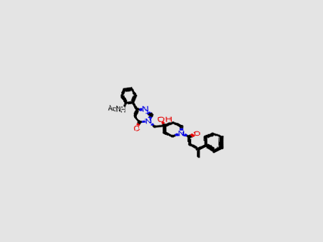 CC(=O)Nc1ccccc1-c1cc(=O)n(CC2(O)CCN(C(=O)CC(C)c3ccccc3)CC2)cn1